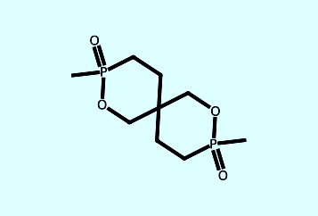 CP1(=O)CCC2(CCP(C)(=O)OC2)CO1